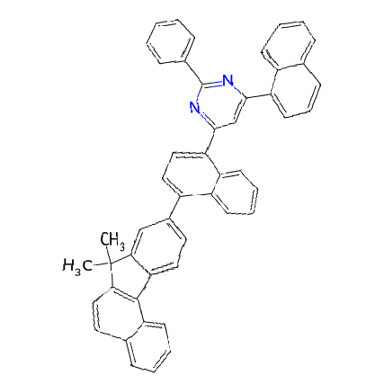 CC1(C)c2cc(-c3ccc(-c4cc(-c5cccc6ccccc56)nc(-c5ccccc5)n4)c4ccccc34)ccc2-c2c1ccc1ccccc21